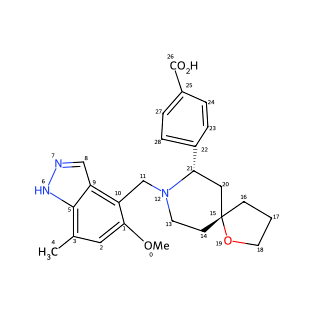 COc1cc(C)c2[nH]ncc2c1CN1CC[C@]2(CCCO2)C[C@H]1c1ccc(C(=O)O)cc1